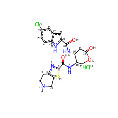 CN1CCc2nc(C(=O)N[C@@H]3COC(=O)C[C@H]3NC(=O)c3cc4cc(Cl)ccc4[nH]3)sc2C1.Cl